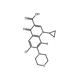 O=C(O)c1cn(C2CC2)c2c(F)c(N3CCSCC3)c(Cl)cc2c1=O